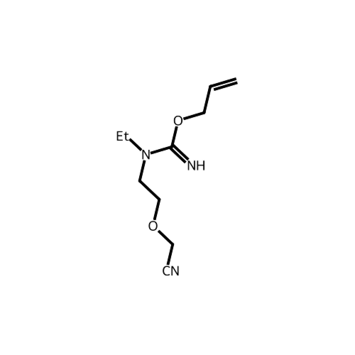 C=CCOC(=N)N(CC)CCOCC#N